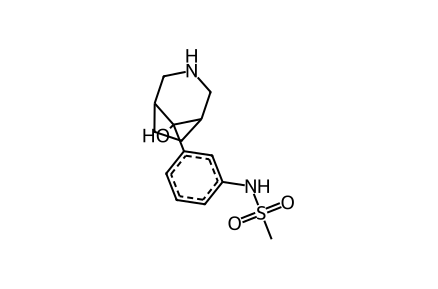 CS(=O)(=O)Nc1cccc(C2(O)C3CCC2CNC3)c1